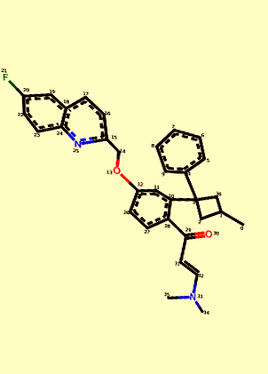 CC1CC(c2ccccc2)(c2cc(OCc3ccc4cc(F)ccc4n3)ccc2C(=O)C=CN(C)C)C1